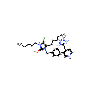 CCCCCc1c(Cl)n(CCCCC)c(=O)n1Cc1ccc(-c2cnccc2-c2nnn[nH]2)cc1